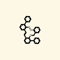 COc1c(C=Cc2cccc(-c3ccccc3)c2OCc2ccccc2)cccc1-c1ccccc1